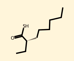 CCCCCC[C@H](CC)C(=O)S